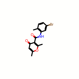 Cc1cc(=O)c(C(=O)Nc2cc(Br)ccc2C)c(C)o1